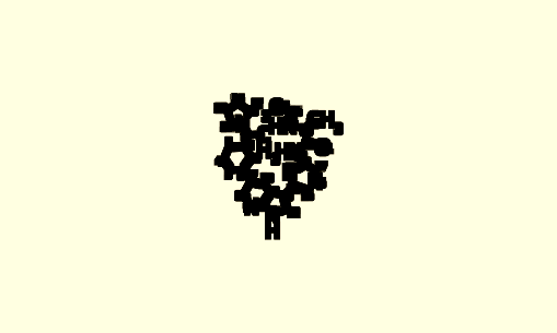 CC(c1cccc(-c2cnc3[nH]cc(-c4cncc(NC(=O)[C@@H](C)NCC(F)(F)F)n4)c3c2)c1)N1CCCC1